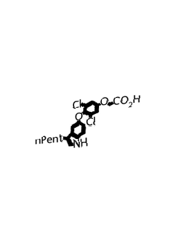 CCCCCc1c[nH]c2ccc(Oc3c(Cl)cc(OCC(=O)O)cc3Cl)cc12